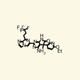 CCOc1ccc(C2(C)C(=O)Nc3nc(-c4cn5ccnc5c(CCC(F)(F)C(F)(F)F)n4)nc(N)c32)cn1